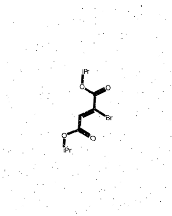 CC(C)OC(=O)C=C(Br)C(=O)OC(C)C